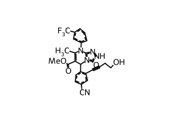 COC(=O)C1=C(C)N(c2cccc(C(F)(F)F)c2)c2n[nH]c(=O)n2C1c1ccc(C#N)cc1C#CCCO